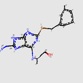 Cc1cccc(CSc2nc(NC(C)CO)c3nc(N)[nH]c3n2)c1